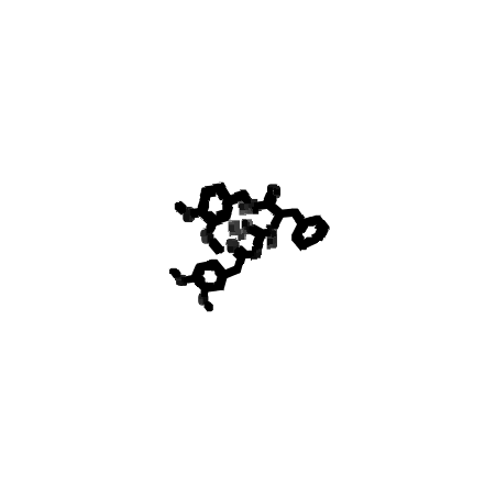 COc1ccc(CNC(=O)C(Cc2ccccc2)NC(N)=NC(=O)Cc2ccc(OC)c(OC)c2)cc1OC